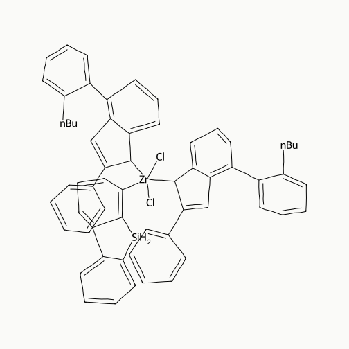 CCCCc1ccccc1-c1cccc2c1C=C(c1ccccc1)[CH]2[Zr]([Cl])([Cl])([c]1cccc2c1[SiH2]c1ccccc1-2)[CH]1C(c2ccccc2)=Cc2c(-c3ccccc3CCCC)cccc21